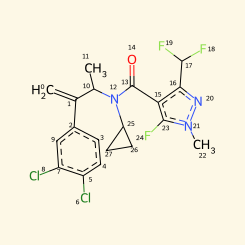 C=C(c1ccc(Cl)c(Cl)c1)C(C)N(C(=O)c1c(C(F)F)nn(C)c1F)C1CC1